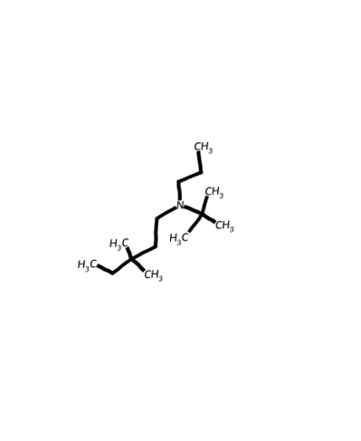 CCCN(CCC(C)(C)CC)C(C)(C)C